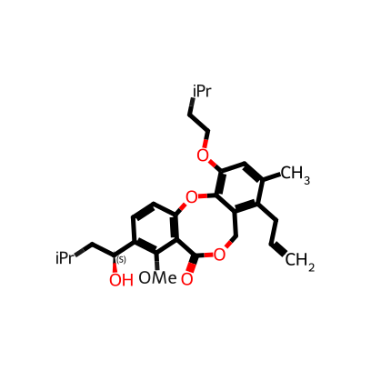 C=CCc1c(C)cc(OCCC(C)C)c2c1COC(=O)c1c(ccc([C@@H](O)CC(C)C)c1OC)O2